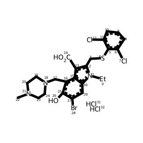 CCn1c(CSc2c(Cl)cccc2Cl)c(C(=O)O)c2c(CN3CCN(C)CC3)c(O)c(Br)cc21.Cl.Cl